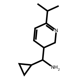 CC(C)C1=NCC(C(N)C2CC2)C=C1